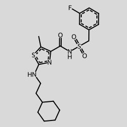 Cc1sc(NCCC2CCCCC2)nc1C(=O)NS(=O)(=O)Cc1cccc(F)c1